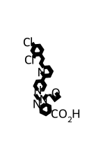 O=C(O)c1ccc2nc(CN3CC=C(c4cccc(CCc5ccc(Cl)cc5Cl)n4)CC3)n(C[C@@H]3CCO3)c2c1